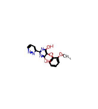 COc1ccccc1Oc1c(O)nc(-c2cccnn2)nc1O